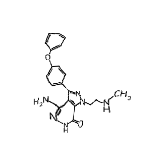 CNCCn1nc(-c2ccc(Oc3ccccc3)cc2)c2c(N)n[nH]c(=O)c21